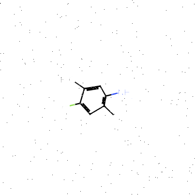 Cc1cc(F)c(C(F)(F)F)cc1N